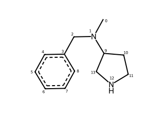 CN(Cc1ccccc1)C1CCNC1